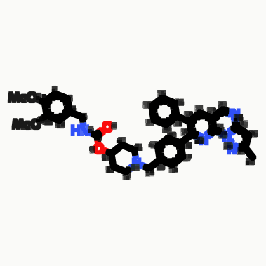 COc1ccc(CNC(=O)OC2CCN(Cc3ccc(-c4nc5c(cnc6cc(C)nn65)cc4-c4ccccc4)cc3)CC2)cc1OC